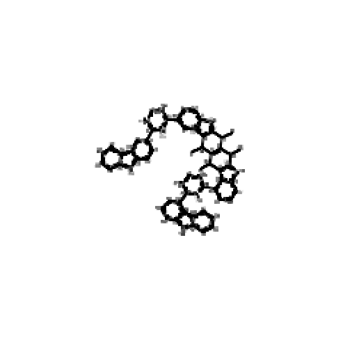 CC1C2=C(C(C)c3c1sc1ccc(-c4ncnc(-c5ccc6sc7ccccc7c6c5)n4)cc31)C(C)c1c(sc3cccc(-c4ncnc(-c5cccc6sc7ccccc7c56)n4)c13)C2C